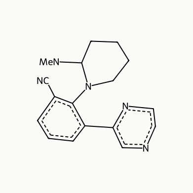 CNC1CCCCN1c1c(C#N)cccc1-c1cnccn1